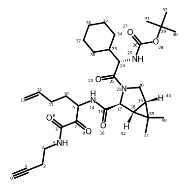 C#CCCNC(=O)C(=O)C(CCC=C)NC(=O)[C@@H]1[C@@H]2[C@H](CN1C(=O)[C@@H](NC(=O)OC(C)(C)C)C1CCCCC1)C2(C)C